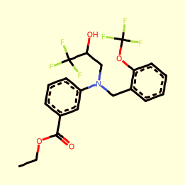 CCOC(=O)c1cccc(N(Cc2ccccc2OC(F)(F)F)CC(O)C(F)(F)F)c1